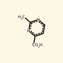 Cc1nccc(C(=O)O)n1